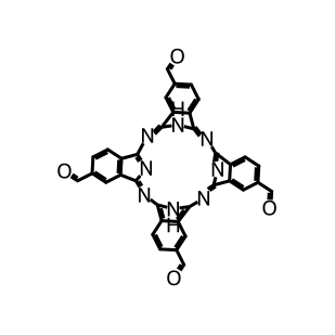 O=Cc1ccc2c(c1)-c1nc-2nc2[nH]c(nc3nc(nc4[nH]c(n1)c1ccc(C=O)cc41)-c1cc(C=O)ccc1-3)c1ccc(C=O)cc21